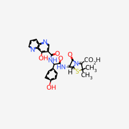 CC1(C)S[C@@H]2[C@H](NC(=O)C(NC(=O)c3cnc4cccnc4c3O)c3ccc(O)cc3)C(=O)N2[C@H]1C(=O)O